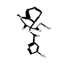 CN1C(=O)C(OC(=O)c2cccc([N+](=O)[O-])c2)(C(=O)NC(C)(C)C)c2ccccc21